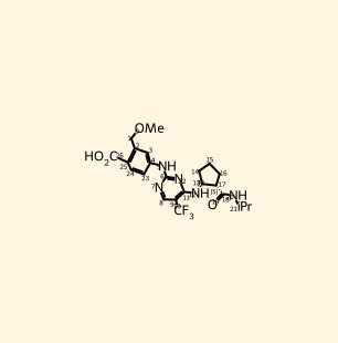 COCc1cc(Nc2ncc(C(F)(F)F)c(N[C@@H]3CCC[C@@H]3C(=O)NC(C)C)n2)ccc1C(=O)O